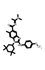 C/C(=N\C(=O)c1cc2nc(Nc3ccc(OC(F)(F)F)cc3)n(C3CC(C)(C)CC(C)(C)C3)c2cc1C)N(C)C